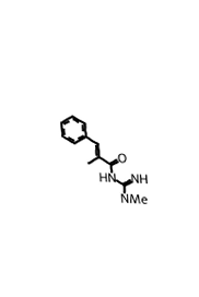 CNC(=N)NC(=O)/C(C)=C/c1ccccc1